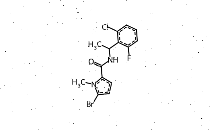 CC(NC(=O)c1ccc(Br)n1C)c1c(F)cccc1Cl